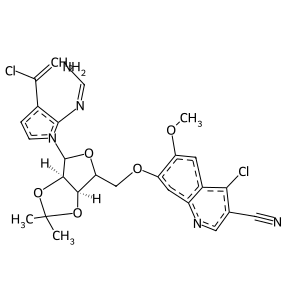 C=C(Cl)c1ccn(C2OC(COc3cc4ncc(C#N)c(Cl)c4cc3OC)[C@H]3OC(C)(C)O[C@@H]23)c1/N=C\N